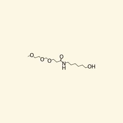 COCCOCOCCC(=O)NCCCCCCO